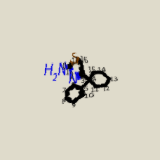 Nc1nc(C2(c3ccccc3)CCCCC2)cs1